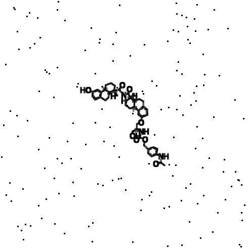 CC(=O)Nc1ccc(COC(=O)N[C@@H](CO)COc2ccc3c(c2)[C@@]2(C)CCC[C@](C)(C(=O)NC(=O)[C@@]4(C)CCC[C@]5(C)c6cc(O)ccc6CC[C@@H]45)[C@@H]2CC3)cc1